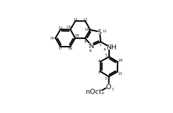 CCCCCCCCOc1ccc(Nc2nc3c(s2)CCc2ccccc2-3)cc1